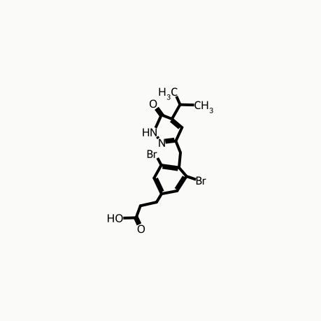 CC(C)c1cc(Cc2c(Br)cc(CCC(=O)O)cc2Br)n[nH]c1=O